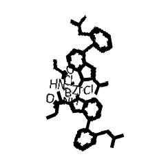 CCC(=O)N[B](NC(=O)CC)[Zr]([Cl])([Cl])([CH]1C(C(C)C)=Cc2c(-c3ccccc3CC(C)C)cccc21)[CH]1C(C(C)C)=Cc2c(-c3ccccc3CC(C)C)cccc21